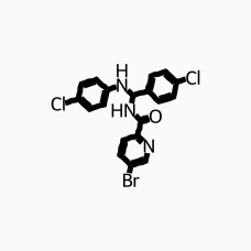 O=C(NC(Nc1ccc(Cl)cc1)c1ccc(Cl)cc1)c1ccc(Br)cn1